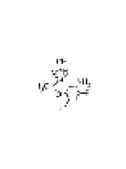 Cc1noc(C(C)Oc2cc(N)c(F)cc2Cl)n1